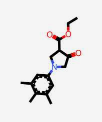 CCOC(=O)C1CN(c2cc(C)c(C)c(C)c2)CC1=O